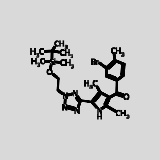 Cc1ccc(C(=O)c2c(C)[nH]c(-c3nnn(CCO[Si](C)(C)C(C)(C)C)n3)c2C)cc1Br